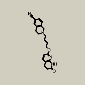 N#Cc1ccc2c(c1)CCN(CCCCOc1ccc3c(n1)NC(=O)CC3)C2